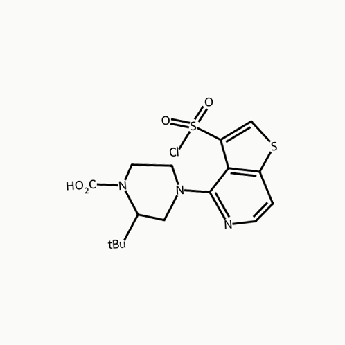 CC(C)(C)C1CN(c2nccc3scc(S(=O)(=O)Cl)c23)CCN1C(=O)O